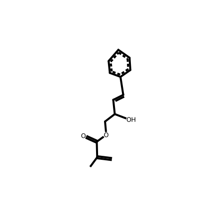 C=C(C)C(=O)OCC(O)C=Cc1ccccc1